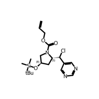 C=CCOC(=O)N1C[C@H](O[Si](C)(C)C(C)(C)C)C[C@H]1C(Cl)c1cncnc1